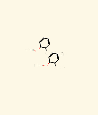 CCCCOC1C=CC=CC1C(=O)[O-].CCCCOC1C=CC=CC1C(=O)[O-].[Zn+2]